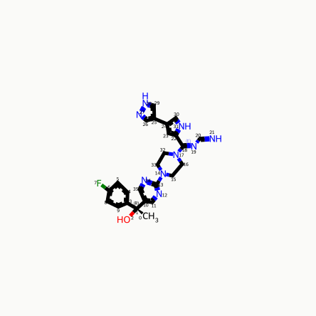 C[C@@](O)(c1ccc(F)cc1)c1cnc(N2CCN(/C(=N/C=N)c3cc(-c4cn[nH]c4)c[nH]3)CC2)nc1